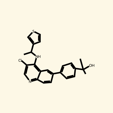 CC(Nc1c(Cl)cnc2ccc(-c3ccc(C(C)(C)O)cc3)cc12)c1ccsc1